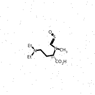 CCN(CC)CC[C@@H](C(=O)O)N(C)C=S=O